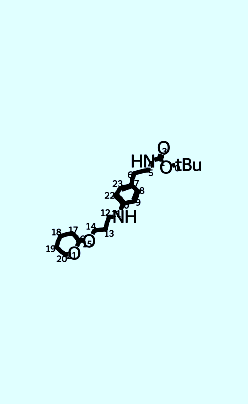 CC(C)(C)OC(=O)NCCc1ccc(NCCCOC2CCCCO2)cc1